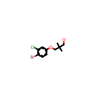 CC(C)(C[O])COc1ccc(Br)c(Cl)c1